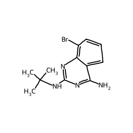 CC(C)(C)Nc1nc(N)c2cccc(Br)c2n1